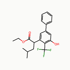 CCOC(=O)C(CC(C)C)c1cc(-c2ccccc2)cc(O)c1C(F)(F)F